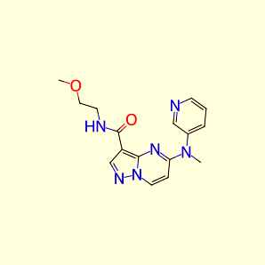 COCCNC(=O)c1cnn2ccc(N(C)c3cccnc3)nc12